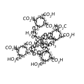 CN(CC(=O)NCC(CNC(=O)CN(C)C(=O)CN1CCN(CC(=O)O)CCN(CC(=O)O)CCN(CC(=O)O)CC1)(CNC(=O)CN(C)C(=O)CN1CCN(CC(=O)O)CCN(CC(=O)O)CCN(CC(=O)O)CC1)CNC(=O)CN(C)C(=O)CN1CCN(CC(=O)O)CCN(CC(=O)O)CCN(CC(=O)O)CC1)C(=O)CN1CCN(CC(=O)O)CCN(CC(=O)O)CCN(CC(=O)O)CC1